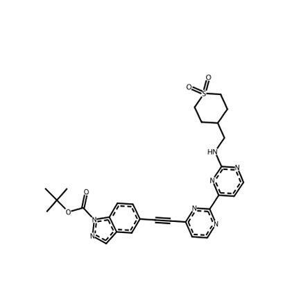 CC(C)(C)OC(=O)n1ncc2cc(C#Cc3ccnc(-c4ccnc(NCC5CCS(=O)(=O)CC5)n4)n3)ccc21